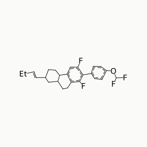 CC/C=C/C1CCC2c3cc(F)c(-c4ccc(OC(F)F)cc4)c(F)c3CCC2C1